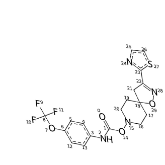 O=C(Nc1ccc(OC(F)(F)F)cc1)ON1CCC2(CC1)CC(c1nccs1)=NO2